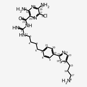 N=C(NCCCCc1ccc(-c2ncc(CCCN)s2)cc1)NC(=O)c1nc(Cl)c(N)nc1N